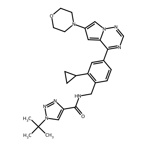 CC(C)(C)n1cc(C(=O)NCc2ccc(-c3ncnn4cc(N5CCOCC5)cc34)cc2C2CC2)nn1